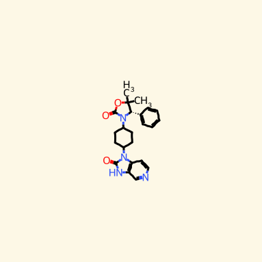 CC1(C)OC(=O)N(C2CCC(n3c(=O)[nH]c4cnccc43)CC2)[C@H]1c1ccccc1